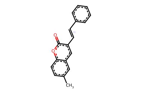 Cc1ccc2oc(=O)c(/C=C/c3ccccc3)cc2c1